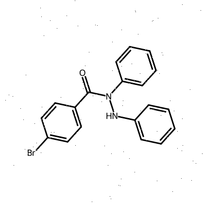 O=C(c1ccc(Br)cc1)N(Nc1ccccc1)c1ccccc1